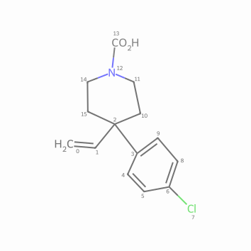 C=CC1(c2ccc(Cl)cc2)CCN(C(=O)O)CC1